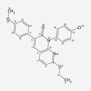 CCOc1ccc2cc(-c3ccc(OC)cc3)c(=O)n(-c3ccc(Cl)cc3)c2n1